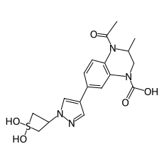 CC(=O)N1c2ccc(-c3cnn(C4CS(O)(O)C4)c3)cc2N(C(=O)O)CC1C